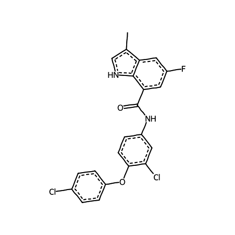 Cc1c[nH]c2c(C(=O)Nc3ccc(Oc4ccc(Cl)cc4)c(Cl)c3)cc(F)cc12